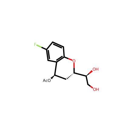 CC(=O)O[C@@H]1C[C@@H]([C@@H](O)CO)Oc2ccc(F)cc21